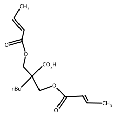 CC=CC(=O)OCC(CCCC)(COC(=O)C=CC)C(=O)O